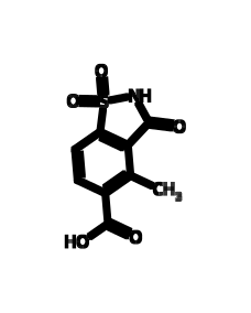 Cc1c(C(=O)O)ccc2c1C(=O)NS2(=O)=O